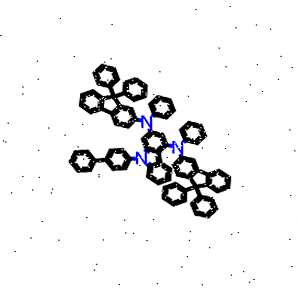 c1ccc(-c2ccc(-n3c4ccccc4c4c(N(c5ccccc5)c5ccc6c(c5)-c5ccccc5C6(c5ccccc5)c5ccccc5)cc(N(c5ccccc5)c5ccc6c(c5)C(c5ccccc5)(c5ccccc5)c5ccccc5-6)cc43)cc2)cc1